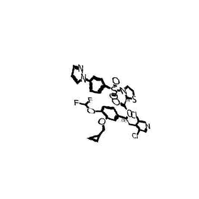 O=C(O[C@@H](Cc1c(Cl)cncc1Cl)c1ccc(OC(F)F)c(OCC2CC2)c1)[C@@H]1SCCN1S(=O)(=O)c1ccc(-n2cccn2)cc1